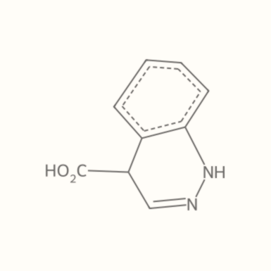 O=C(O)C1C=NNc2ccccc21